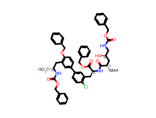 CN[C@@H](C[C@@H](O)CNC(=O)OCc1ccccc1)C(=O)N[C@@H](Cc1cc(-c2ccc(OCc3ccccc3)c(C[C@H](NC(=O)OCc3ccccc3)C(=O)O)c2)ccc1Cl)C(=O)OCc1ccccc1